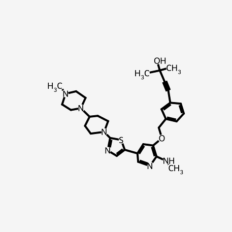 CNc1ncc(-c2cnc(N3CCC(N4CCN(C)CC4)CC3)s2)cc1OCc1cccc(C#CC(C)(C)O)c1